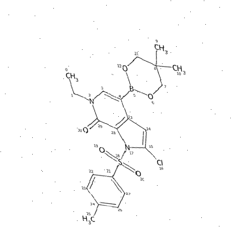 CCn1cc(B2OCC(C)(C)CO2)c2cc(Cl)n(S(=O)(=O)c3ccc(C)cc3)c2c1=O